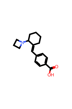 O=C(O)c1ccc(/C=C2\CCCCC2N2CCC2)cc1